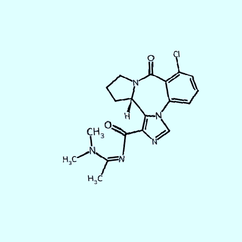 CC(=NC(=O)c1ncn2c1[C@@H]1CCCN1C(=O)c1c(Cl)cccc1-2)N(C)C